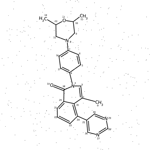 Cc1cn(-c2ccc(N3CC(C)OC(C)C3)cc2)c(=O)c2cccc(-c3cncnc3)c12